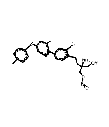 Cc1ccc(Sc2ccc(-c3ccc(CCC(N)(CO)COP=O)c(Cl)c3)c(F)c2)cc1